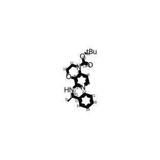 C[C@@H](Nc1nccc2c1OCCN2C(=O)OC(C)(C)C)c1ccccc1